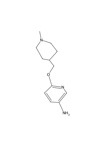 CN1CCC(COc2ccc(N)cn2)CC1